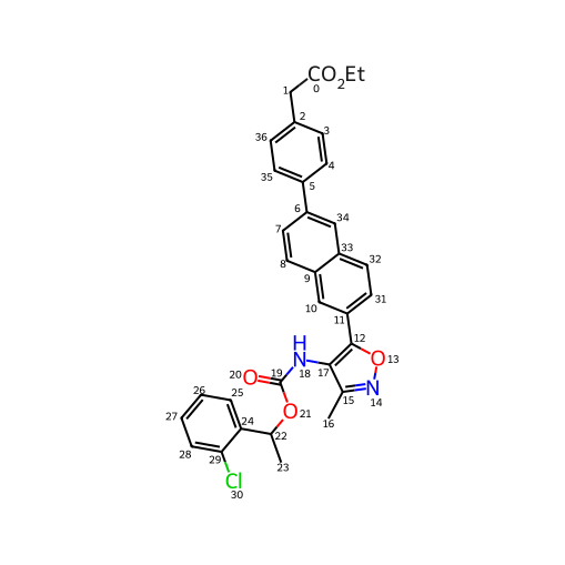 CCOC(=O)Cc1ccc(-c2ccc3cc(-c4onc(C)c4NC(=O)OC(C)c4ccccc4Cl)ccc3c2)cc1